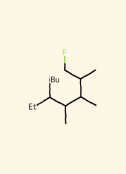 CCC(C)C(CC)C(C)C(C)C(C)CF